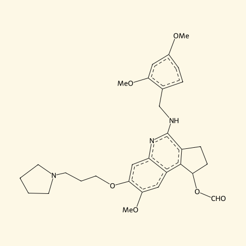 COc1ccc(CNc2nc3cc(OCCCN4CCCC4)c(OC)cc3c3c2CCC3OC=O)c(OC)c1